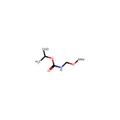 CNOCNC(=O)OC(C)C=O